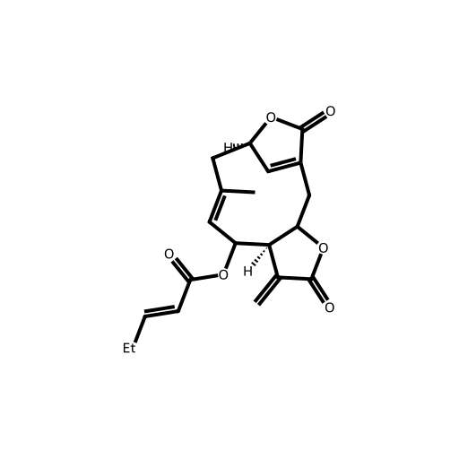 C=C1C(=O)OC2CC3=C[C@@H](C/C(C)=C/C(OC(=O)/C=C/CC)[C@H]12)OC3=O